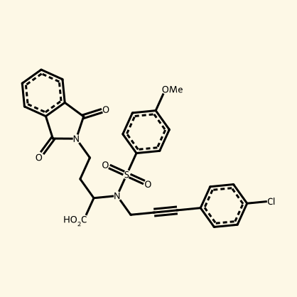 COc1ccc(S(=O)(=O)N(CC#Cc2ccc(Cl)cc2)C(CCN2C(=O)c3ccccc3C2=O)C(=O)O)cc1